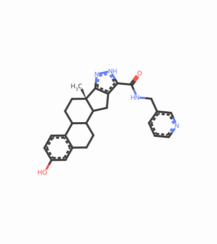 C[C@]12CCC3c4ccc(O)cc4CCC3C1Cc1c2n[nH]c1C(=O)NCc1cccnc1